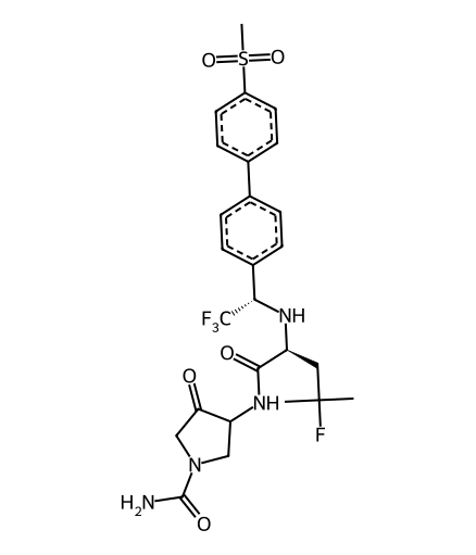 CC(C)(F)C[C@H](N[C@@H](c1ccc(-c2ccc(S(C)(=O)=O)cc2)cc1)C(F)(F)F)C(=O)NC1CN(C(N)=O)CC1=O